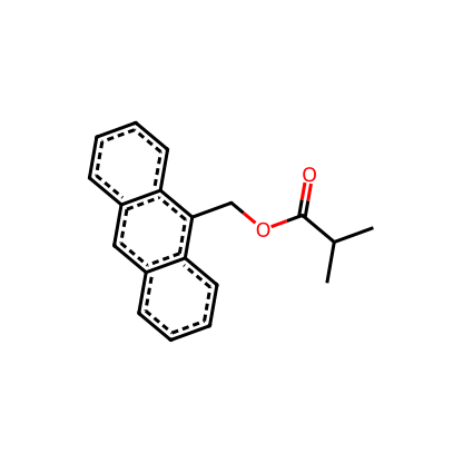 CC(C)C(=O)OCc1c2ccccc2cc2ccccc12